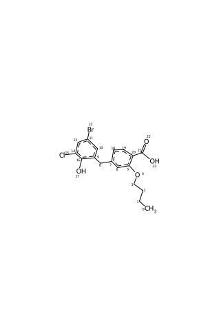 CCCCOc1cc(Cc2cc(Br)cc(Cl)c2O)ccc1C(=O)O